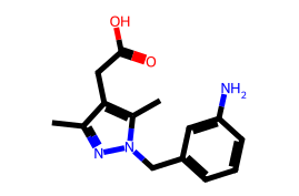 Cc1nn(Cc2cccc(N)c2)c(C)c1CC(=O)O